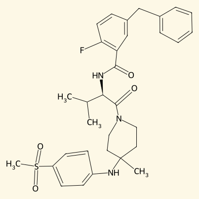 CC(C)[C@@H](NC(=O)c1cc(Cc2ccccc2)ccc1F)C(=O)N1CCC(C)(Nc2ccc(S(C)(=O)=O)cc2)CC1